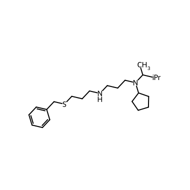 CC(C)C(C)N(CCCNCCCSCc1ccccc1)C1CCCC1